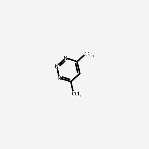 ClC(Cl)(Cl)c1cc(C(Cl)(Cl)Cl)nnn1